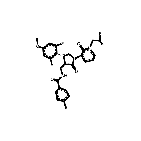 COc1cc(F)c([C@@H]2CN(c3cccn(CC(F)F)c3=O)C(=O)C2CNC(=O)c2ccc(C)cc2)c(F)c1